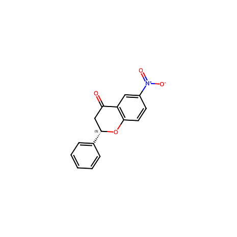 O=C1C[C@@H](c2ccccc2)Oc2ccc([N+](=O)[O-])cc21